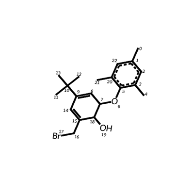 Cc1cc(C)c(OC2C=C(C(C)(C)C)C=C(CBr)C2O)c(C)c1